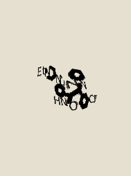 CCN1CCC(N(C)c2ccc3c(c2)C(=C(c2cccc(Cl)c2)c2nc4ccccc4[nH]2)C(=O)N3)CC1